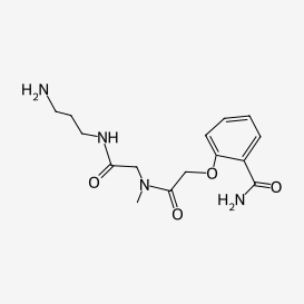 CN(CC(=O)NCCCN)C(=O)COc1ccccc1C(N)=O